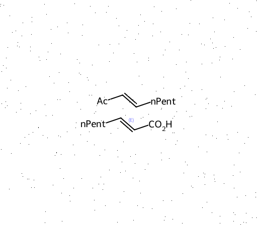 CCCCC/C=C/C(=O)O.CCCCCC=CC(C)=O